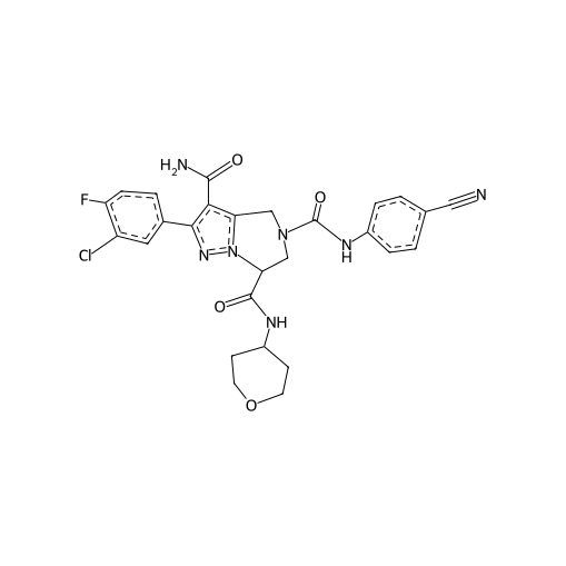 N#Cc1ccc(NC(=O)N2Cc3c(C(N)=O)c(-c4ccc(F)c(Cl)c4)nn3C(C(=O)NC3CCOCC3)C2)cc1